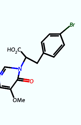 COc1cncn(C(Cc2ccc(Br)cc2)C(=O)O)c1=O